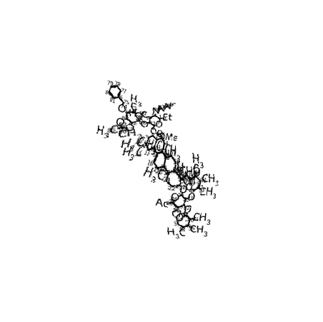 CCC1O[C@@H](OC(=O)[C@]23CCC(C)(C)CC2C2=CCC4C5(C)CC[C@H](O[C@@H]6OC(C(C)=O)[C@@H](C)[C@H](O[C@@H]7OC[C@@H](C)[C@H](C)C7C)C6O[C@@H]6OC(CC)[C@H](C)[C@H](C)C6C)[C@](C)(C=O)[C@@H]5CCC4(C)[C@]2(C)CC3OC)C(O[C@@H]2OC(C)[C@H](OCc3ccccc3)C3OC(C)(C)OC32)C(C)[C@H]1N=[N+]=[N-]